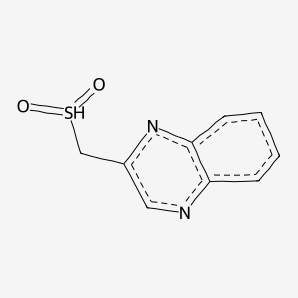 O=[SH](=O)Cc1cnc2ccccc2n1